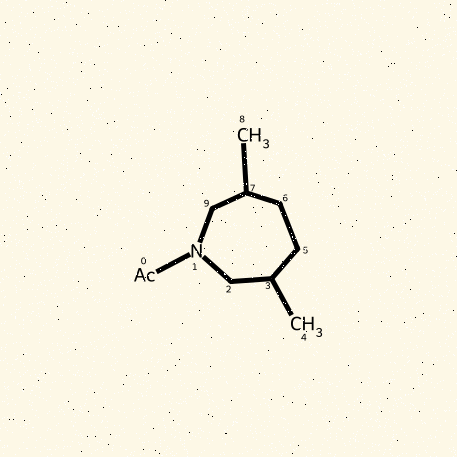 CC(=O)N1CC(C)CCC(C)C1